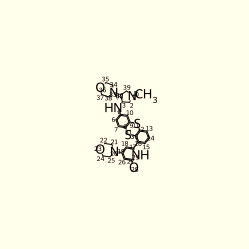 CN1CC(Nc2ccc3c(c2)Sc2cccc(-c4cc(N5CCOCC5)cc(=O)[nH]4)c2S3)[C@H](N2CCOCC2)C1